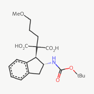 COCCCC(C(=O)O)(C(=O)O)[C@@H]1c2ccccc2C[C@H]1NC(=O)OC(C)(C)C